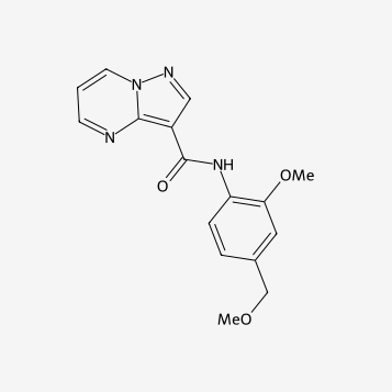 COCc1ccc(NC(=O)c2cnn3cccnc23)c(OC)c1